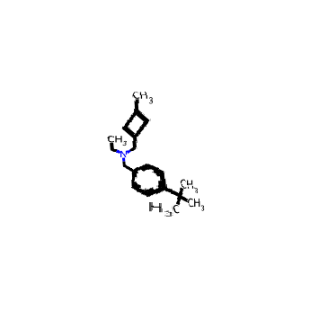 CCN(Cc1ccc(C(C)(C)C)cc1)CC1CC(C)C1